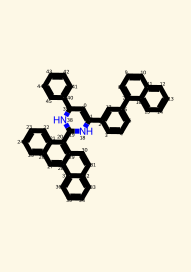 C1=C(c2cccc(-c3cccc4ccccc34)c2)NC(c2c3ccccc3cc3c2ccc2ccccc23)NC1c1ccccc1